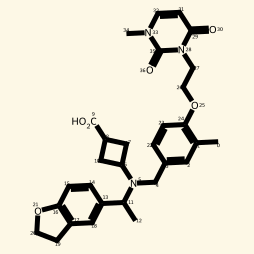 Cc1cc(CN(C2CC(C(=O)O)C2)C(C)c2ccc3c(c2)CCO3)ccc1OCCn1c(=O)ccn(C)c1=O